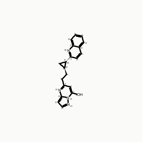 Oc1cc(CC[C@H]2C[C@@H]2c2ccc3ccccc3n2)nc2ccnn12